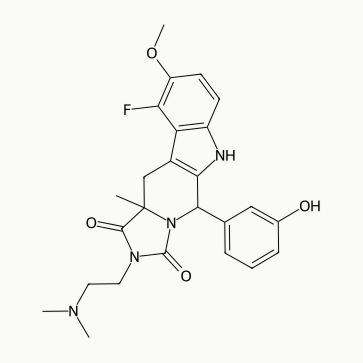 COc1ccc2[nH]c3c(c2c1F)CC1(C)C(=O)N(CCN(C)C)C(=O)N1C3c1cccc(O)c1